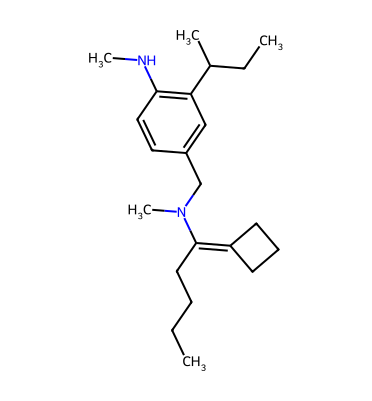 CCCCC(=C1CCC1)N(C)Cc1ccc(NC)c(C(C)CC)c1